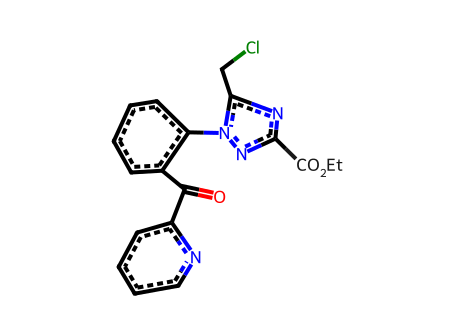 CCOC(=O)c1nc(CCl)n(-c2ccccc2C(=O)c2ccccn2)n1